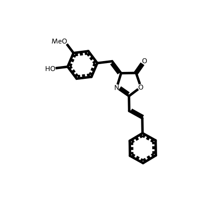 COc1cc(/C=C2N=C(/C=C/c3ccccc3)OC\2=O)ccc1O